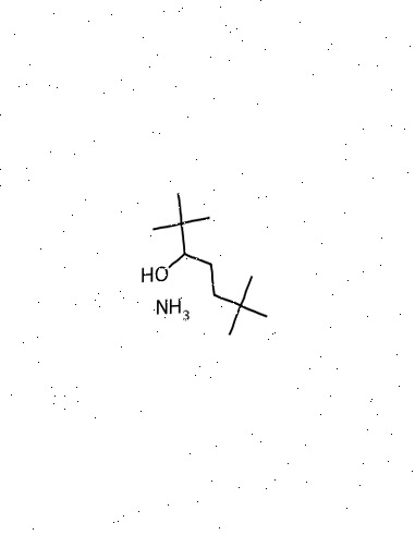 CC(C)(C)CCC(O)C(C)(C)C.N